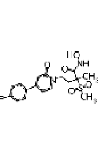 CC(CCn1ccc(-c2ccc(F)cc2)cc1=O)(C(=O)NO)S(C)(=O)=O